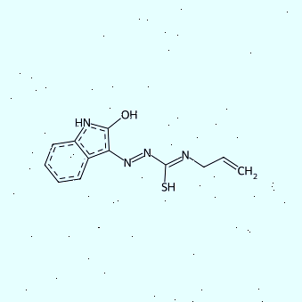 C=CC/N=C(S)/N=N/c1c(O)[nH]c2ccccc12